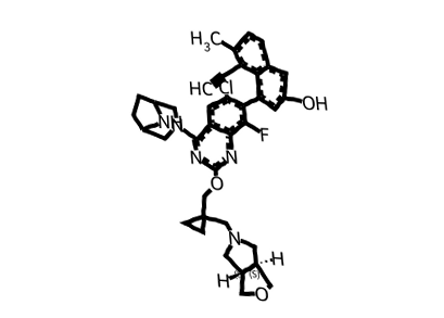 C#Cc1c(C)ccc2cc(O)cc(-c3c(Cl)cc4c(N5CC6CCC(C5)N6)nc(OCC5(CN6C[C@H]7COC[C@@H]7C6)CC5)nc4c3F)c12